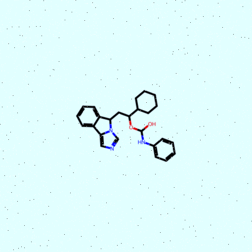 OC(Nc1ccccc1)OC(CC1c2ccccc2-c2cncn21)C1CCCCC1